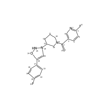 O=C(c1ccc(F)nc1)N1CCCC(N2C=C(c3ccc(F)cc3)ON2)C1